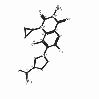 C[C@H](N)[C@@H]1CCN(c2c(F)cc3c(=O)n(N)c(=O)n(C4CC4)c3c2Cl)C1